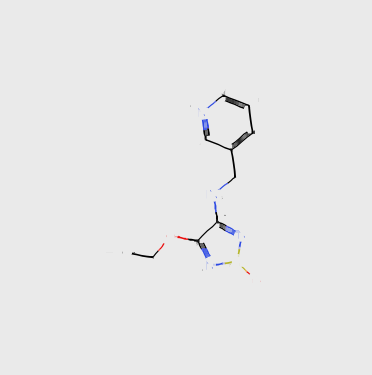 CCOc1n[s+]([O-])nc1NCc1cccnc1